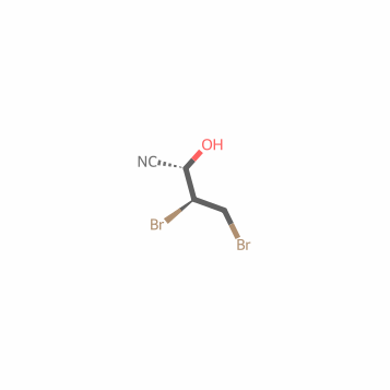 N#C[C@H](O)[C@H](Br)CBr